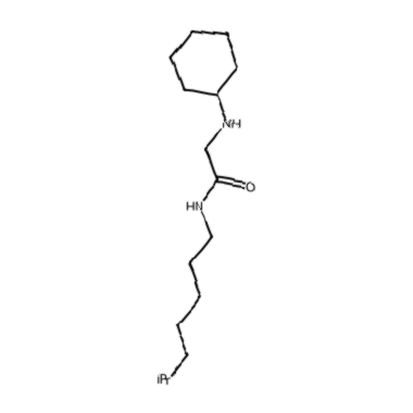 CC(C)CCCCCNC(=O)CNC1CCCCC1